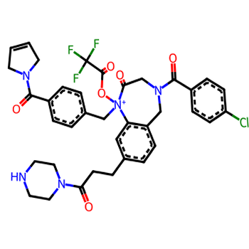 O=C(CCc1ccc2c(c1)[N+](Cc1ccc(C(=O)N3CC=CC3)cc1)(OC(=O)C(F)(F)F)C(=O)CN(C(=O)c1ccc(Cl)cc1)C2)N1CCNCC1